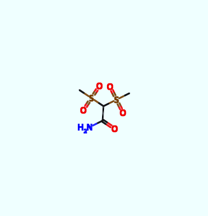 CS(=O)(=O)C(C(N)=O)S(C)(=O)=O